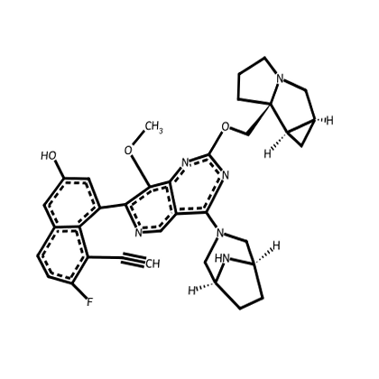 C#Cc1c(F)ccc2cc(O)cc(-c3ncc4c(N5C[C@H]6CC[C@@H](C5)N6)nc(OC[C@@]56CCCN5C[C@H]5C[C@H]56)nc4c3OC)c12